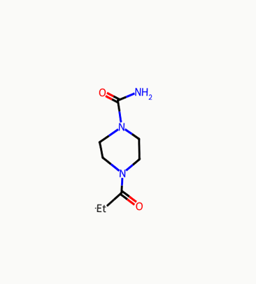 C[CH]C(=O)N1CCN(C(N)=O)CC1